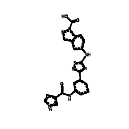 O=C(Nc1cccc(-c2nsc(Nc3ccc4c(cnn4C(=O)O)c3)n2)c1)c1c[nH]cn1